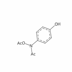 CC(=O)ON(C(C)=O)c1ccc(O)cc1